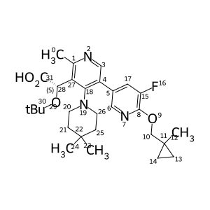 Cc1ncc(-c2cnc(OCC3(C)CC3)c(F)c2)c(N2CCC(C)(C)CC2)c1[C@H](OC(C)(C)C)C(=O)O